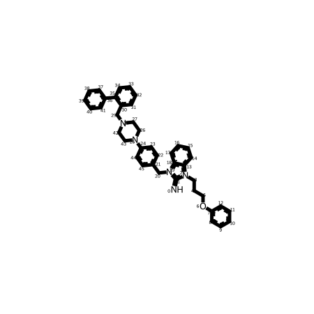 N=c1n(CCCOc2ccccc2)c2ccccc2n1Cc1ccc(N2CCN(Cc3ccccc3-c3ccccc3)CC2)cc1